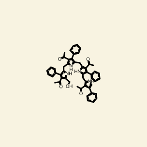 CC(=O)c1c(-c2ccccc2)c[nH]c1Cc1[nH]c(Cc2[nH]c(Cc3[nH]c(CO)c(C(C)=O)c3-c3ccccc3)c(C(C)=O)c2-c2ccccc2)c(C(C)=O)c1-c1ccccc1